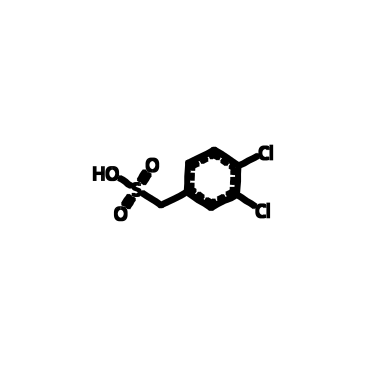 O=S(=O)(O)Cc1ccc(Cl)c(Cl)c1